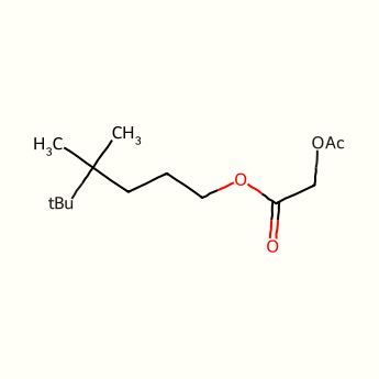 CC(=O)OCC(=O)OCCCC(C)(C)C(C)(C)C